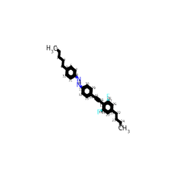 CCCCCc1ccc(N=Nc2ccc(C#Cc3c(F)cc(CCCC)cc3F)cc2)cc1